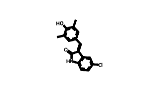 Cc1cc(C=C2C(=O)Nc3ccc(Cl)cc32)cc(C)c1O